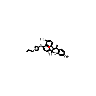 [2H]C1(c2ccc(SC3CN(CCC)C3)cc2)Oc2cc(O)ccc2C(C)=C1c1ccc(O)cc1